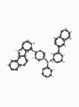 c1ccc(N(c2ccc(-c3cccc4oc5c6ccccc6ccc5c34)cc2)c2cccc(-c3ccc4ccccc4c3)c2)cc1